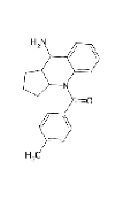 Cc1ccc(C(=O)N2c3ccccc3C(N)C3CCCC32)cc1